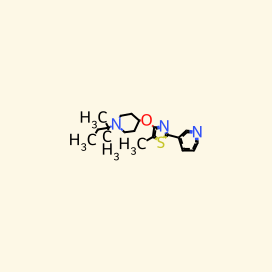 CCC(C)(C)N1CCC(Oc2nc(-c3cccnc3)sc2C)CC1